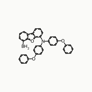 Bc1cccc2c1oc1c(N(c3ccc(Oc4ccccc4)cc3)c3ccc(Oc4ccccc4)cc3)cccc12